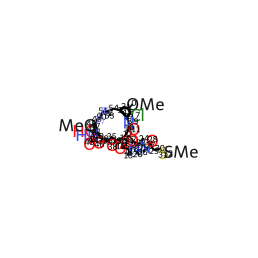 COc1cc2cc(c1Cl)N(C)C(=O)CC(OC(=O)C(C)N(C)C(=O)C(C)N(C)C(=O)CCSSC)C1(C)CC(C)(O1)C1CC(O)(NC(=O)O1)C(OC)/C=C/C=C(\C)C2